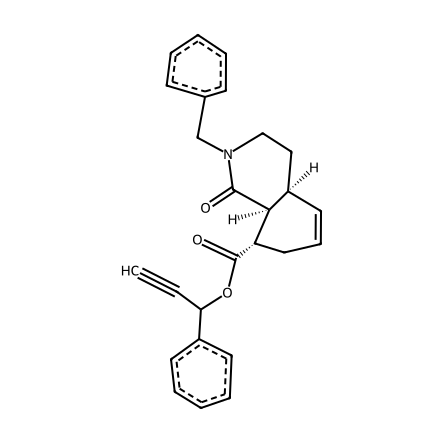 C#CC(OC(=O)[C@H]1CC=C[C@@H]2CCN(Cc3ccccc3)C(=O)[C@@H]21)c1ccccc1